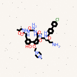 CC(=O)[C@H](C)NC(=O)[C@@H]1Cc2ccc(O)c(c2)-c2cc(ccc2OCCN2CCN(C)CC2)[C@H](N(C)C(=O)[C@H](CCCCN)NC(=O)c2ccc(-c3ccc(Cl)cc3)cc2)C(=O)N[C@@H](N)C(=O)N1